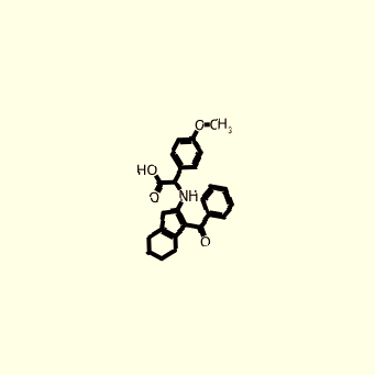 COc1ccc(C(NC2=C(C(=O)c3ccccc3)C3=C(CCCC3)C2)C(=O)O)cc1